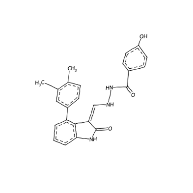 Cc1ccc(-c2cccc3c2C(=CNNC(=O)c2ccc(O)cc2)C(=O)N3)cc1C